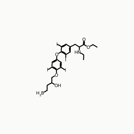 BCCC(O)COc1c(I)cc(Oc2c(I)cc(CC(NCC)C(=O)OCC)cc2I)cc1I